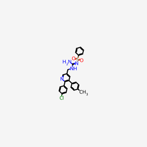 Cc1ccc(-c2cc(CN/C(N)=N/S(=O)(=O)c3ccccc3)cnc2-c2ccc(Cl)cc2)cc1